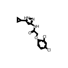 O=C(COc1ccc(Cl)cc1Cl)Nc1cc(C2CC2)[nH]n1